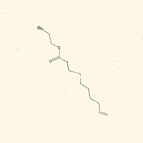 C=CCCCCCCCC(=O)OCCC(C)(C)C